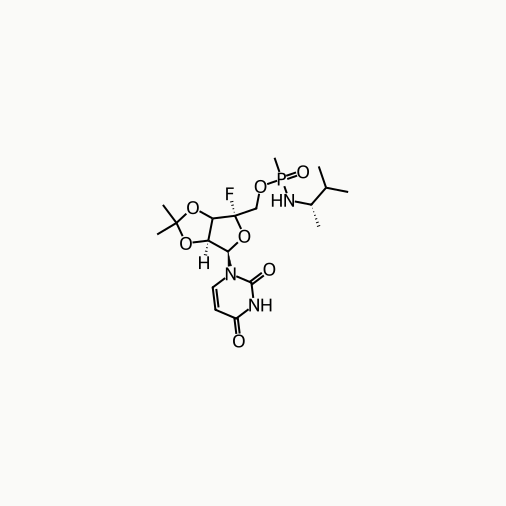 CC(C)[C@H](C)NP(C)(=O)OC[C@@]1(F)O[C@@H](n2ccc(=O)[nH]c2=O)[C@H]2OC(C)(C)OC21